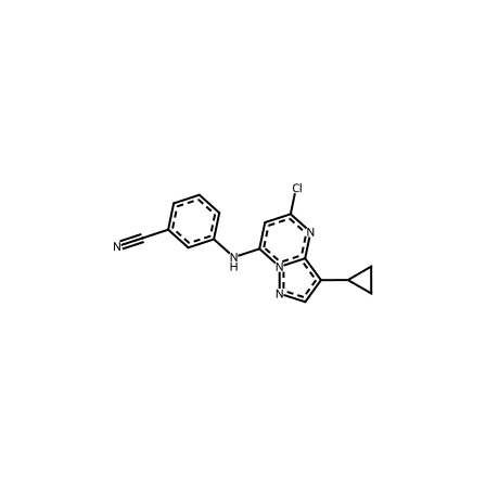 N#Cc1cccc(Nc2cc(Cl)nc3c(C4CC4)cnn23)c1